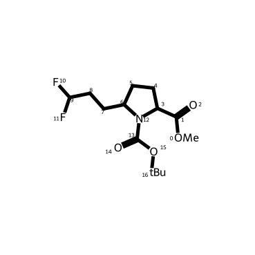 COC(=O)C1CCC(CCC(F)F)N1C(=O)OC(C)(C)C